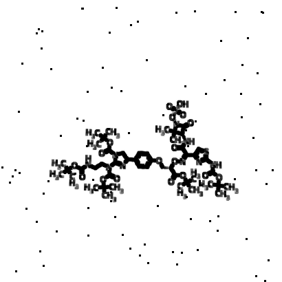 CC(C)(C)OC(=O)NCCN(C(=O)OC(C)(C)C)C1=NC(c2ccc(OC[C@H](O/N=C(\C(=O)N[C@@H]3C(=O)N(OS(=O)(=O)O)C3(C)C)c3csc(NC(=O)OC(C)(C)C)n3)C(=O)OC(C)(C)C)cc2)CN1C(=O)OC(C)(C)C